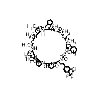 CC(C)C[C@H]1C(=O)N[C@@H](CC2CCCC2)C(=O)N(C)CC(=O)N(C)CC(=O)N(C)[C@@H](CC2CCCCC2)C(=O)N(C)CC(=O)N[C@@H](CCc2ccc(C(F)(F)F)c(Cl)c2)C(=O)N2CCC[C@H]2C(=O)NC2(CCCC2)C(=O)N(C)[C@@H](C(C)C)C(=O)N[C@H](C)CC(=O)N1C